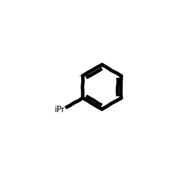 CC(C)c1[c]cccc1